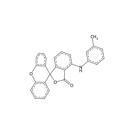 Cc1cccc(Nc2cccc3c2C(=O)OC32c3ccccc3Oc3ccccc32)c1